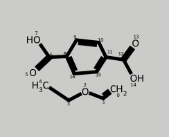 C=COCC.O=C(O)c1ccc(C(=O)O)cc1